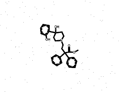 COC(=O)C(CCN1CCC(O)(c2ccccc2O)CC1)(c1ccccc1)c1ccccc1